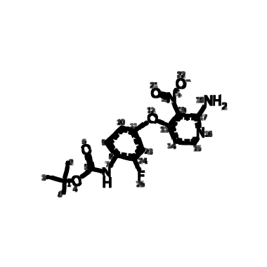 CC(C)(C)OC(=O)Nc1ccc(Oc2ccnc(N)c2[N+](=O)[O-])cc1F